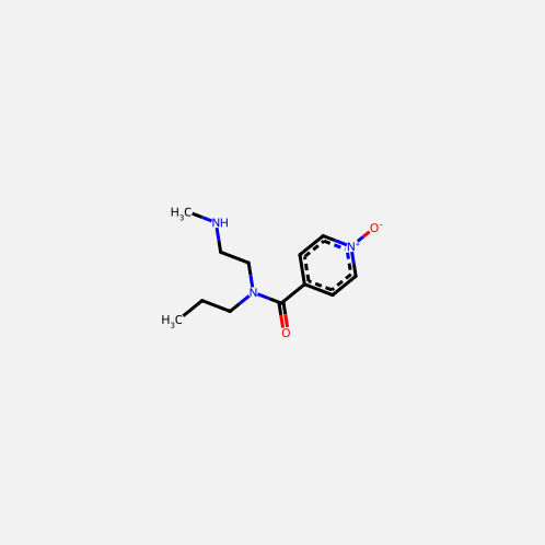 CCCN(CCNC)C(=O)c1cc[n+]([O-])cc1